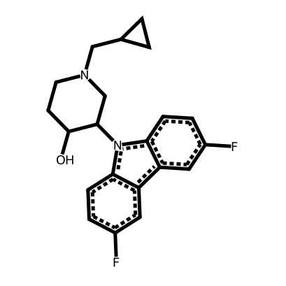 OC1CCN(CC2CC2)CC1n1c2ccc(F)cc2c2cc(F)ccc21